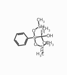 CC[C@](C)(O)[Si](O[SiH](C)C)(O[SiH](C)C)c1ccccc1